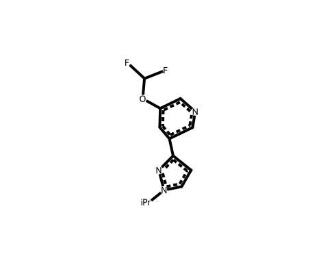 CC(C)n1ccc(-c2cncc(OC(F)F)c2)n1